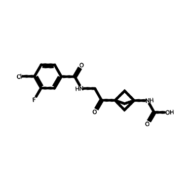 O=C(O)NC12CC(C(=O)CNC(=O)c3ccc(Cl)c(F)c3)(C1)C2